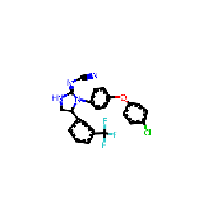 N#CN=C1NCC(c2cccc(C(F)(F)F)c2)N1c1ccc(Oc2ccc(Cl)cc2)cc1